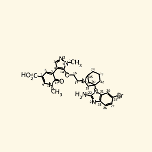 Cn1ncc(-c2cc(C(=O)O)cn(C)c2=O)c1OCCN1CC2(n3c(N)nc4ccc(Br)cc43)CCCC1C2